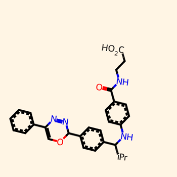 CC(C)C(Nc1ccc(C(=O)NCCC(=O)O)cc1)c1ccc(C2N=NC(c3ccccc3)=CO2)cc1